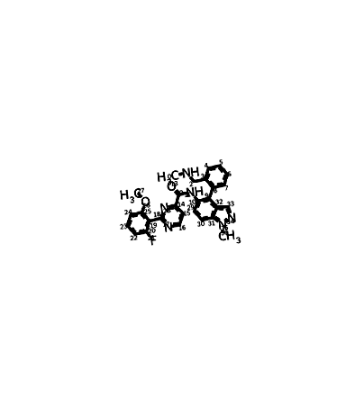 CNCc1ccccc1-c1c(NC(=O)c2ccnc(-c3c(F)cccc3OC)n2)ccc2c1cnn2C